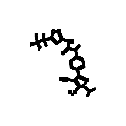 CC(C(=O)Nc1cc(C(C)(C)C(F)(F)F)on1)c1ccc(-c2nn(C(C)C)c(N)c2C#N)cc1